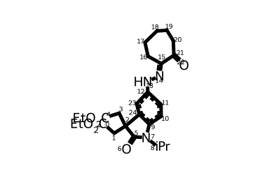 CCOC(=O)CC1(CC(=O)OCC)C(=O)N(C(C)C)c2ccc(N/N=C3\CCCCCC3=O)cc21